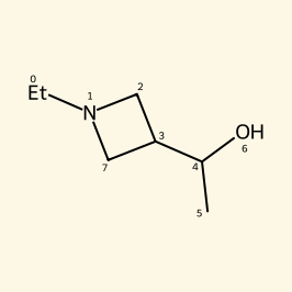 CCN1CC(C(C)O)C1